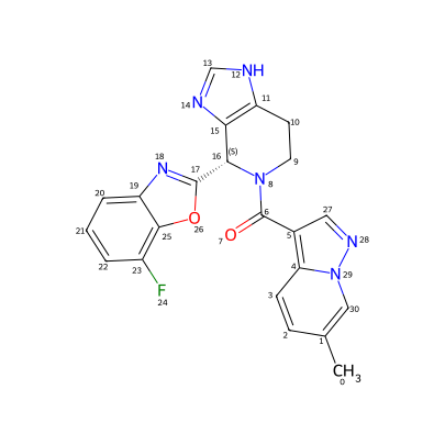 Cc1ccc2c(C(=O)N3CCc4[nH]cnc4[C@H]3c3nc4cccc(F)c4o3)cnn2c1